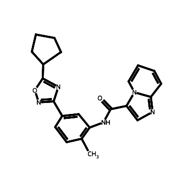 Cc1ccc(-c2noc(C3CCCC3)n2)cc1NC(=O)c1cnc2ccccn12